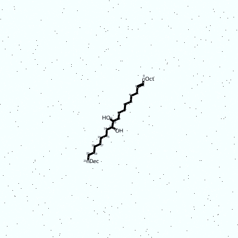 CCCCCCCC/C=C/CCCCCCCC(O)C(O)CCCCCCCCCCCCCCCCC